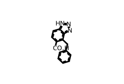 O=C(O)c1ccc2[nH]nnc2c1Cc1ccccc1